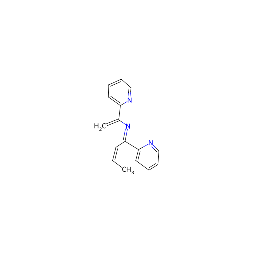 C=C(/N=C(\C=C/C)c1ccccn1)c1ccccn1